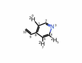 [2H]c1cnc([2H])c([2H])c1C=C